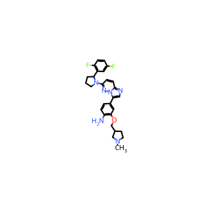 CN1CCC(COc2cc(-c3cnc4ccc(N5CCCC5c5cc(F)ccc5F)nn34)ccc2N)C1